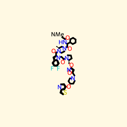 CNCC(=O)N[C@H](C(=O)N1CCN(C(=O)c2cc3cc(F)c(F)cc3n2CC(=O)N2CCC[C@H]2COc2cc(CN3CCC(Oc4ccnc5ccsc45)CC3)on2)[C@@H](C)C1)C1CCCCC1